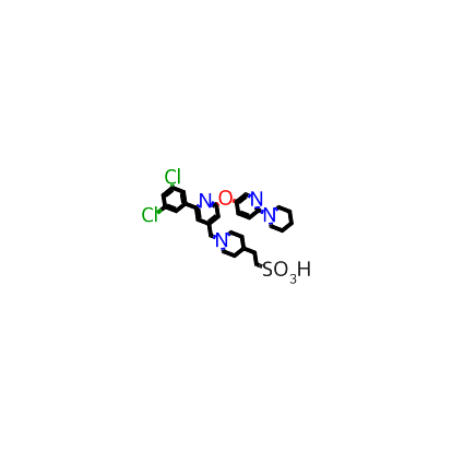 O=S(=O)(O)CCC1CCN(Cc2cc(Oc3ccc(N4CCCCC4)nc3)nc(-c3cc(Cl)cc(Cl)c3)c2)CC1